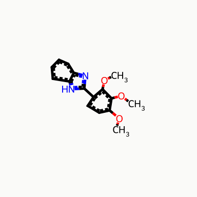 COc1ccc(-c2nc3ccccc3[nH]2)c(OC)c1OC